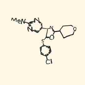 CNc1ncc(C2N=C(C3CCOCC3)OC2Sc2ccc(Cl)cc2)cn1